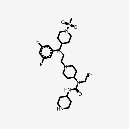 CC(C)CN(C(=O)NC1CCNCC1)C1CCN(CC[C@@H](c2cc(F)cc(F)c2)C2CCN(S(C)(=O)=O)CC2)CC1